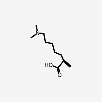 C=C(CCCCCN(C)C)C(=O)O